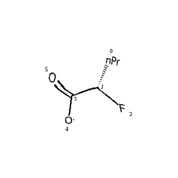 CCC[C@H](F)C([O])=O